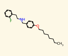 CCCCCCCCOc1ccc(CNCCc2ccccc2F)cc1